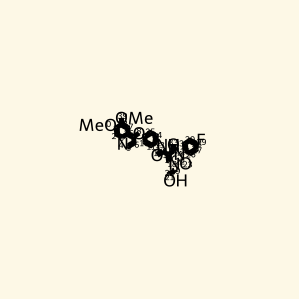 COc1cc2nccc(Oc3ccc(NC(=O)c4cn(CCO)c(=O)n(-c5ccc(F)cc5)c4=O)cc3)c2cc1OC